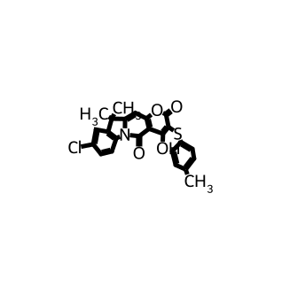 Cc1ccc(Sc2c(O)c3c(=O)n4c(cc3oc2=O)C(C)(C)c2cc(Cl)ccc2-4)cc1